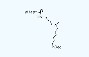 CCCCCCCCCCCCCCCCN(C)CCCCNC(=O)CCCCCCC